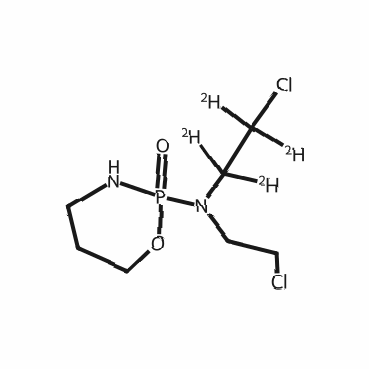 [2H]C([2H])(Cl)C([2H])([2H])N(CCCl)P1(=O)NCCCO1